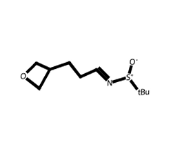 CC(C)(C)[S+]([O-])N=CCCC1COC1